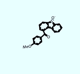 COc1ccc(C(=O)c2cccc3c2c2ccccc2[s+]3[O-])cc1